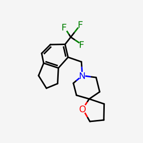 FC(F)(F)c1ccc2c(c1CN1CCC3(CCCO3)CC1)CCC2